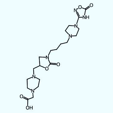 O=C(O)CN1CCN(CC2CN(CCCCN3CCN(c4noc(=O)[nH]4)CC3)C(=O)O2)CC1